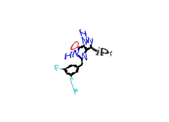 CC(C)c1n[nH]c2c(=O)[nH]c(Cc3cc(F)cc(F)c3)nc12